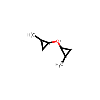 CC1CC1OC1CC1C